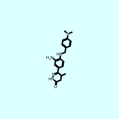 CC1CC(=O)NN=C1c1ccc(NCc2ccc(N(C)C)cc2)c(N)c1